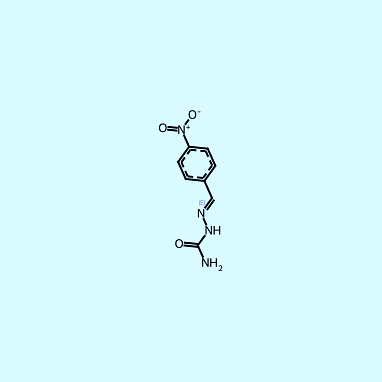 NC(=O)N/N=C/c1ccc([N+](=O)[O-])cc1